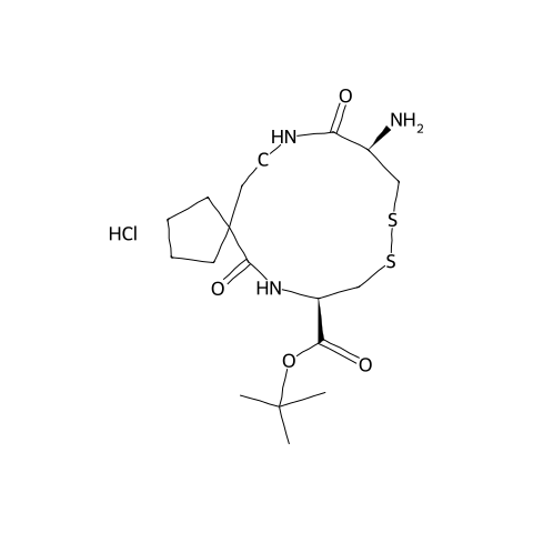 CC(C)(C)OC(=O)[C@@H]1CSSC[C@H](N)C(=O)NCCC2(CCCC2)C(=O)N1.Cl